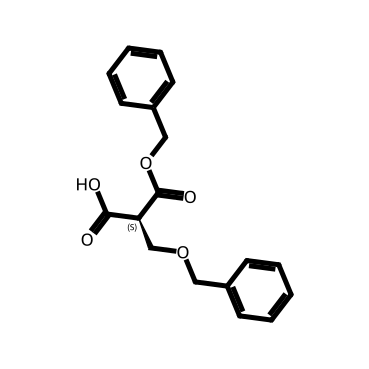 O=C(O)[C@H](COCc1ccccc1)C(=O)OCc1ccccc1